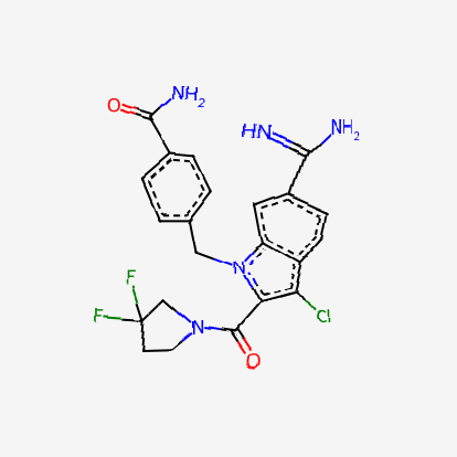 N=C(N)c1ccc2c(Cl)c(C(=O)N3CCC(F)(F)C3)n(Cc3ccc(C(N)=O)cc3)c2c1